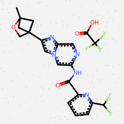 CC12CC(c3cn4cc(NC(=O)c5cccc(C(F)F)n5)ncc4n3)(CO1)C2.O=C(O)C(F)(F)F